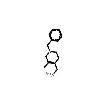 CCOC(=O)CC1=C(C)CN(Cc2ccccc2)CC1